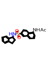 CC(=O)Nc1cccc2cc(S(=O)(=O)NC3CCc4ccccc43)ccc12